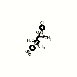 CC(=O)SC(=Cc1cc(C)n(-c2ccc([N+](=O)[O-])cc2)c1C)C(=O)Oc1ccc(Cl)cc1